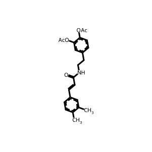 CC(=O)Oc1ccc(CCNC(=O)/C=C/c2ccc(C)c(C)c2)cc1OC(C)=O